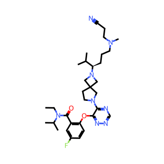 CCN(C(=O)c1cc(F)ccc1Oc1nncnc1N1CCC2(C1)CN([C@H](CCCN(C)CCC#N)C(C)C)C2)C(C)C